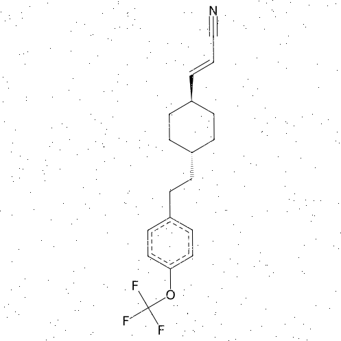 N#C/C=C/[C@H]1CC[C@H](CCc2ccc(OC(F)(F)F)cc2)CC1